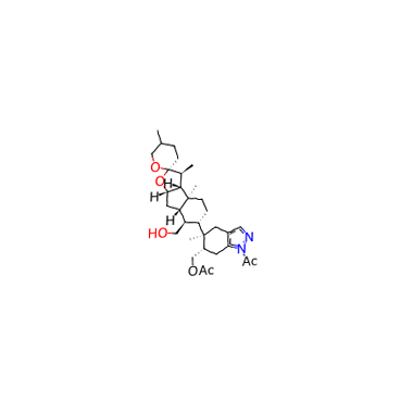 CC(=O)OC[C@H]1Cc2c(cnn2C(C)=O)C[C@]1(C)[C@H]1CC[C@]2(C)[C@@H]3[C@H](C[C@H]2[C@@H]1CO)O[C@]1(CCC(C)CO1)[C@H]3C